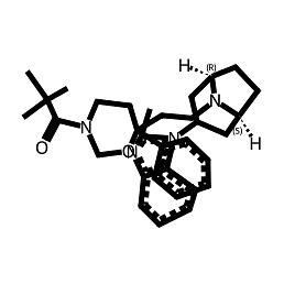 Cc1nc2ccccc2n1C1C[C@H]2CC[C@@H](C1)N2CCC1(c2ccccc2)CCN(C(=O)C(C)(C)C)CO1